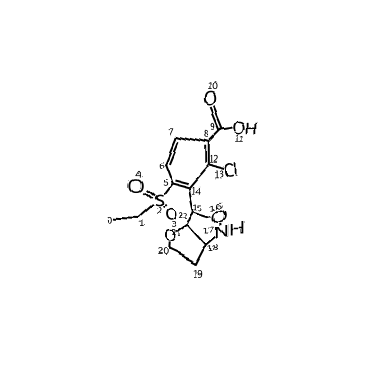 CCS(=O)(=O)c1ccc(C(=O)O)c(Cl)c1C1ONC2CCOC21